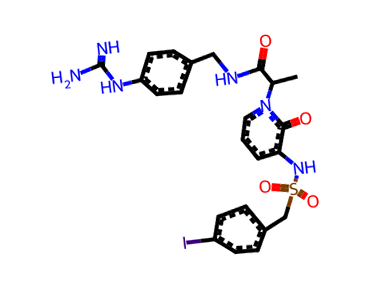 CC(C(=O)NCc1ccc(NC(=N)N)cc1)n1cccc(NS(=O)(=O)Cc2ccc(I)cc2)c1=O